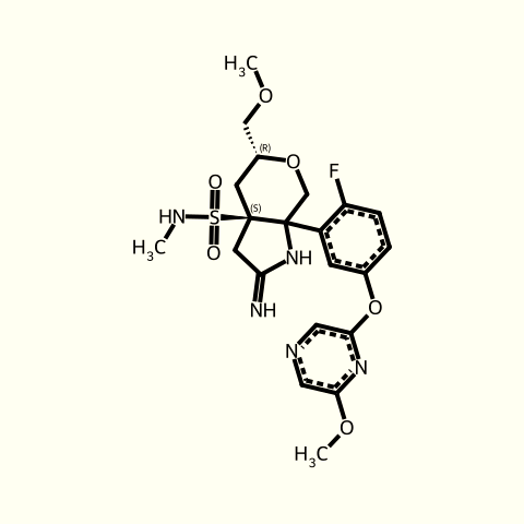 CNS(=O)(=O)[C@]12CC(=N)NC1(c1cc(Oc3cncc(OC)n3)ccc1F)CO[C@@H](COC)C2